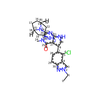 CCn1cc2c(Cl)c(-c3c[nH]c4nc(N5[C@@H]6CC[C@H]5C[C@H](N)C6)n(C)c(=O)c34)ccc2n1